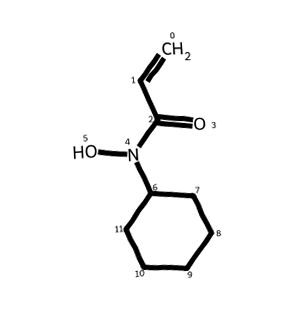 C=CC(=O)N(O)C1CCCCC1